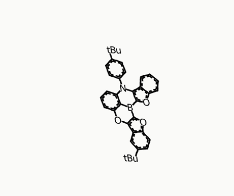 CC(C)(C)c1ccc(N2c3cccc4c3B(c3oc5ccc(C(C)(C)C)cc5c3O4)c3oc4ccccc4c32)cc1